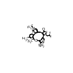 Cc1ccc2c(c1)C(C)Oc1cc(cnc1N)-c1c(c(Cl)nn1CC(F)F)Cc1cn(C)nc1-2